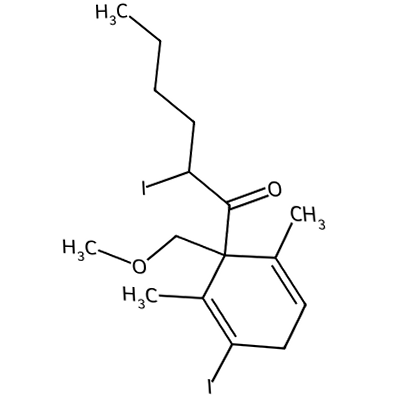 CCCCC(I)C(=O)C1(COC)C(C)=CCC(I)=C1C